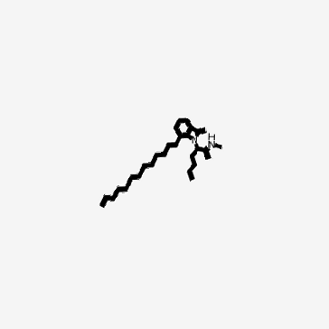 C=CCCCCCCCCCCCc1cccc2c1N(C(CCC=C)C(=C)NC)C2=C